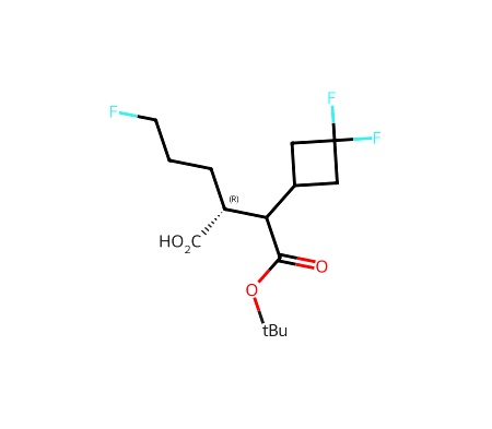 CC(C)(C)OC(=O)C(C1CC(F)(F)C1)[C@@H](CCCF)C(=O)O